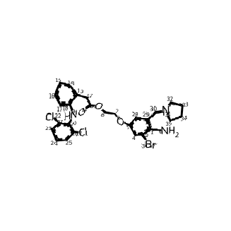 Nc1c(Br)cc(OCCOC(=O)Cc2ccccc2Nc2c(Cl)cccc2Cl)cc1CN1CCCC1